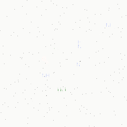 Cl.Cl.NCCCNc1nccc(C(=O)NCC23CC4CC(CC(C4)C2)C3)c1Cl